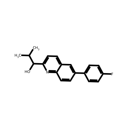 CC(C)C(O)c1ccc2cc(-c3ccc(F)cc3)ccc2n1